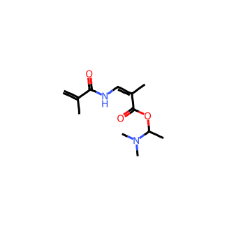 C=C(C)C(=O)NC=C(C)C(=O)OC(C)N(C)C